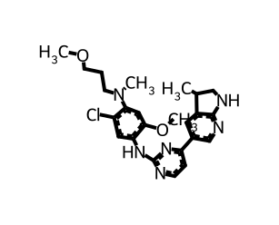 COCCCN(C)c1cc(OC)c(Nc2nccc(-c3cnc4c(c3)C(C)CN4)n2)cc1Cl